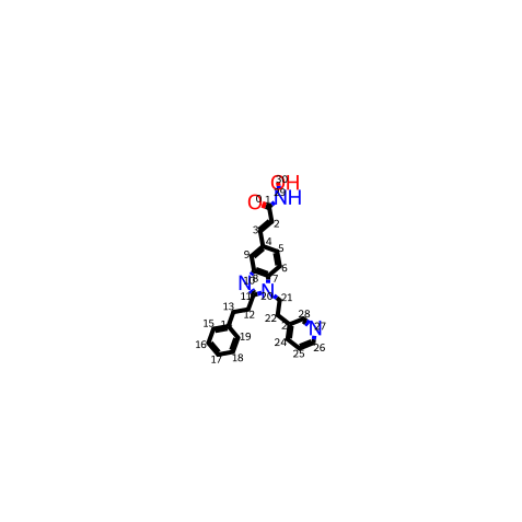 O=C(C=Cc1ccc2c(c1)nc(CCc1ccccc1)n2CCc1cccnc1)NO